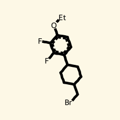 CCOc1ccc(C2CCC(CBr)CC2)c(F)c1F